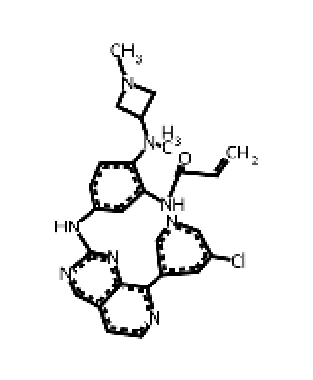 C=CC(=O)Nc1cc(Nc2ncc3ccnc(-c4cncc(Cl)c4)c3n2)ccc1N(C)C1CN(C)C1